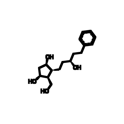 OC[C@@H]1[C@@H](CC[C@@H](O)CCc2ccccc2)[C@H](O)C[C@@H]1O